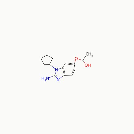 CC(O)Oc1ccc2nc(N)n(C3CCCC3)c2c1